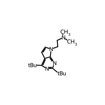 CN(C)CCn1ccc2c(C(C)(C)C)nc(C(C)(C)C)nc21